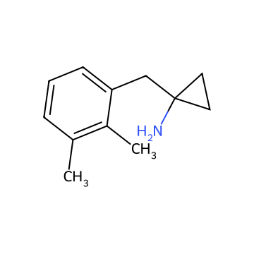 Cc1cccc(CC2(N)CC2)c1C